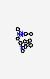 c1ccc(-c2ccc(-c3nc(-c4ccccc4)nc(-c4cccc(-c5ccc(-c6nc7ccccc7c7cc8c(cc67)C6(c7ccccc7-c7ccccc76)c6ccccc6-8)cc5)c4)n3)cc2)cc1